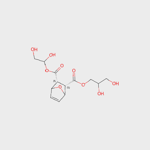 O=C(OCC(O)CO)[C@@H]1C2C=CC(O2)[C@@H]1C(=O)OC(O)CO